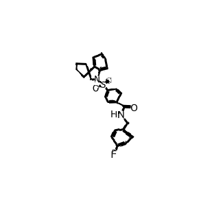 O=C(NCc1ccc(F)cc1)c1ccc(S(=O)(=O)N2CC3(CCCC3)c3ccccc32)cc1